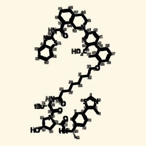 Cc1ncsc1-c1ccc([C@H](C)NC(=O)[C@@H]2C[C@@H](O)CN2C(=O)[C@@H](NC(=O)CCCCCCCOc2cccc(-c3ccc(N4CCc5cccc(C(=O)Nc6nc7ccccc7s6)c5C4)nc3C(=O)O)c2C)C(C)(C)C)cc1